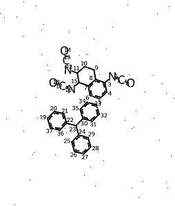 O=C=Nc1cccc2c1CCC(N=C=O)C2N=C=O.c1ccc(C(c2ccccc2)c2ccccc2)cc1